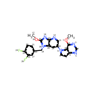 COc1ncnc2ccn(-c3cnc4nc(OC)n(Cc5ccc(F)c(F)c5)c4c3)c12